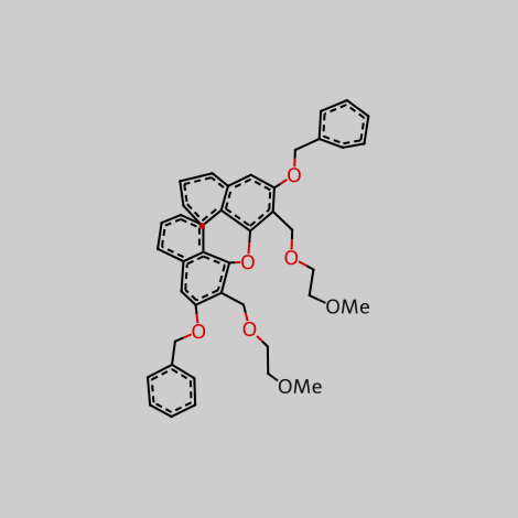 COCCOCc1c(OCc2ccccc2)cc2ccccc2c1Oc1c(COCCOC)c(OCc2ccccc2)cc2ccccc12